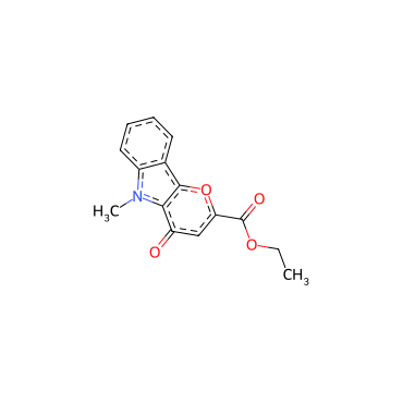 CCOC(=O)c1cc(=O)c2c(o1)c1ccccc1n2C